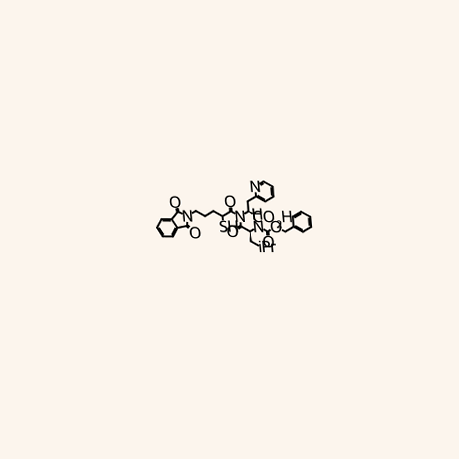 CC(C)C[C@H](NC(=O)OCc1ccccc1)C(=O)N(C(=O)C(S)CCCN1C(=O)c2ccccc2C1=O)[C@@H](Cc1ccccn1)C(=O)O